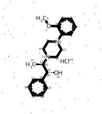 COc1ccccc1N1CCN([C@H](C)[C@H](O)c2ccccc2)CC1.Cl